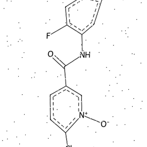 O=C(Nc1ccccc1F)c1ccc(Cl)[n+]([O-])c1